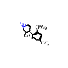 COc1cc(C(F)(F)F)ccc1[C@@H]1CCNC[C@@H]1C